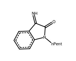 CCCCCN1C(=O)C(=N)c2ccccc21